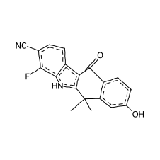 CC1(C)c2cc(O)ccc2C(=O)c2c1[nH]c1c(F)c(C#N)ccc21